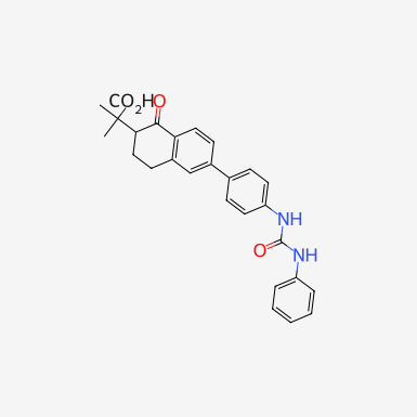 CC(C)(C(=O)O)C1CCc2cc(-c3ccc(NC(=O)Nc4ccccc4)cc3)ccc2C1=O